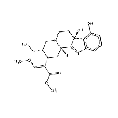 CC[C@@H]1CN2CC[C@@]3(O)C(=Nc4cccc(O)c43)[C@@H]2C[C@@H]1/C(=C\OC)C(=O)OC